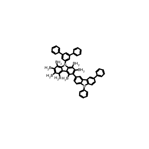 Bc1c(B)c(B)c2c(c1B)c1c(B)c(-c3ccc4c(c3)c3cc(-c5ccccc5)ccc3n4-c3ccccc3)c(B)c(B)c1n2-c1cc(-c2ccccc2)cc(-c2ccccc2)c1